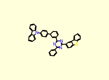 C1=CC(c2nc(-c3ccccc3)nc(-c3ccc4sc5ccccc5c4c3)n2)=CC(c2ccc(-n3c4ccccc4c4ccccc43)cc2)C1